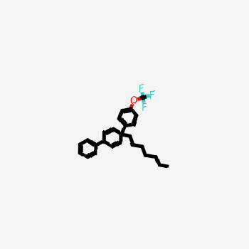 CCCCCCCC1(c2ccc(OC(F)(F)F)cc2)C=CC(c2ccccc2)C=C1